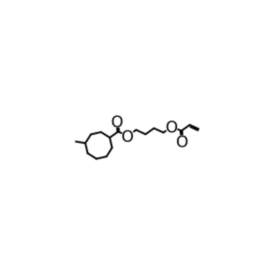 C=CC(=O)OCCCCOC(=O)C1CCCCC(C)CC1